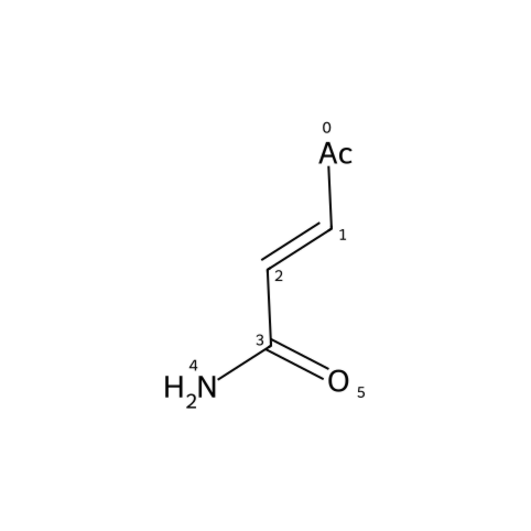 CC(=O)/C=C/C(N)=O